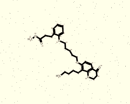 CCCCCc1c(OCCCCCOc2ccccc2CCC(=O)OC)ccc2c1OCCC2=O